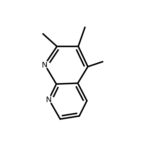 Cc1nc2ncccc2c(C)c1C